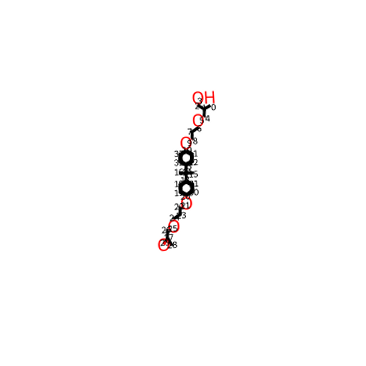 CC(CO)COCCCOc1ccc(C(C)(C)c2ccc(OCCCOCC3CO3)cc2)cc1